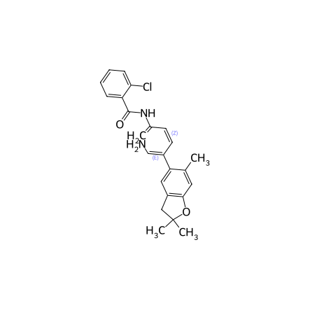 C=C(/C=C\C(=C/N)c1cc2c(cc1C)OC(C)(C)C2)NC(=O)c1ccccc1Cl